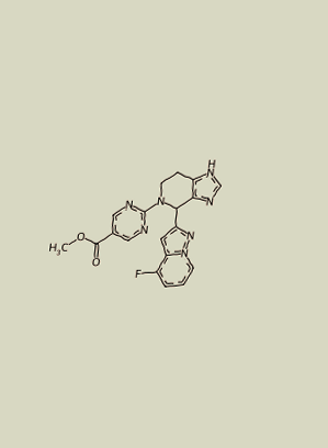 COC(=O)c1cnc(N2CCc3[nH]cnc3C2c2cc3c(F)cccn3n2)nc1